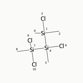 C[Si](C)(Cl)[Si](C)(Cl)[Si](C)(Cl)Cl